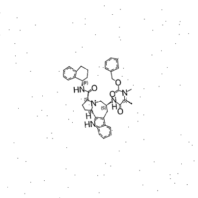 C[C@@H](C(=O)N[C@H]1Cc2c([nH]c3ccccc23)[C@H]2CC[C@@H](C(=O)N[C@@H]3CCCc4ccccc43)N2C1)N(C)C(=O)OCc1ccccc1